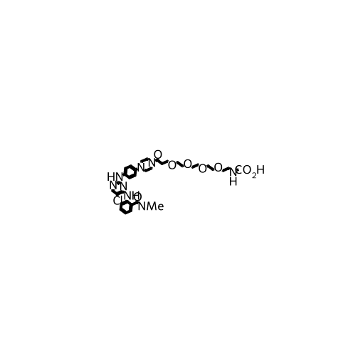 CNC(=O)c1ccccc1Nc1nc(Nc2ccc(N3CCN(C(=O)CCOCCOCCOCCOCCNC(=O)O)CC3)cc2)ncc1Cl